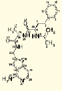 CC(C)N[C@H](CCc1ccccc1)C(=O)N[C@@H](C)C(=O)NCc1cc2c(N)nccc2s1